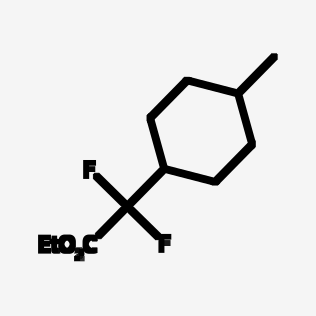 CCOC(=O)C(F)(F)C1CCC(C)CC1